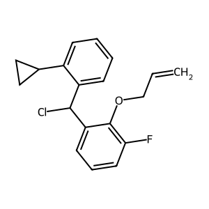 C=CCOc1c(F)cccc1C(Cl)c1ccccc1C1CC1